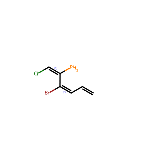 C=C/C=C(Br)\C(P)=C/Cl